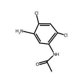 CC(=O)Nc1cc(N)c(Cl)cc1Cl